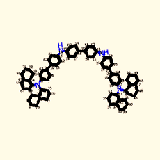 c1ccc2c(N(c3ccc(-c4ccc(Nc5ccc(-c6ccc(Nc7ccc(-c8ccc(N(c9cccc%10ccccc9%10)c9cccc%10ccccc9%10)cc8)cc7)cc6)cc5)cc4)cc3)c3cccc4ccccc34)cccc2c1